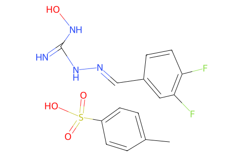 Cc1ccc(S(=O)(=O)O)cc1.N=C(NO)NN=Cc1ccc(F)c(F)c1